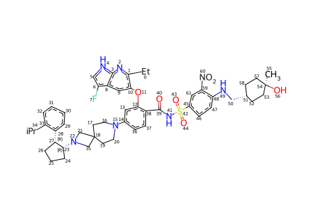 CCc1nc2[nH]cc(F)c2cc1Oc1cc(N2CCC3(CC2)CN([C@@H]2CCC[C@@H]2c2ccccc2C(C)C)C3)ccc1C(=O)NS(=O)(=O)c1ccc(NC[C@H]2CC[C@](C)(O)CC2)c([N+](=O)[O-])c1